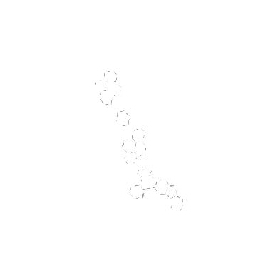 c1cc2ccc3ccc(-c4ccc(-c5ccc6ccc7c(-c8ccc9c(c8)c8ccccc8c8cc%10c(cc98)oc8ccccc8%10)ccc8ccc5c6c87)cc4)c4ccc(c1)c2c34